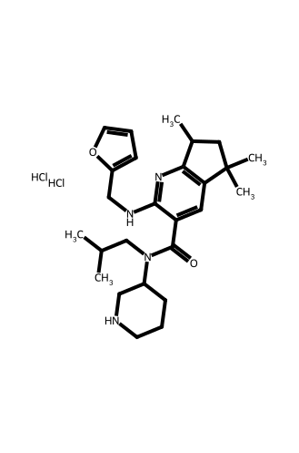 CC(C)CN(C(=O)c1cc2c(nc1NCc1ccco1)C(C)CC2(C)C)C1CCCNC1.Cl.Cl